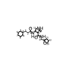 O=C(CCc1ccccc1)Nc1c[nH]nc1C(=O)NCc1ccco1